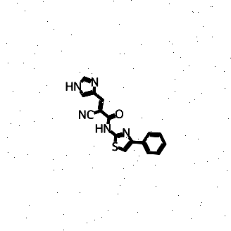 N#C/C(=C\c1c[nH]cn1)C(=O)Nc1nc(-c2ccccc2)cs1